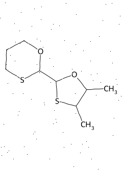 CC1OC([C]2OCCCS2)SC1C